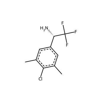 Cc1cc([C@H](N)C(F)(F)F)cc(C)c1Cl